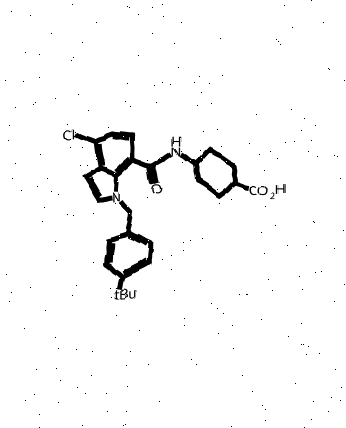 CC(C)(C)c1ccc(Cn2ccc3c(Cl)ccc(C(=O)NC4CCC(C(=O)O)CC4)c32)cc1